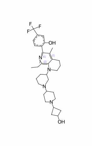 CC/C(C)=C1/C(=C(C)\C(=N/C)c2ccc(C(F)(F)F)cc2O)CCCN1C1CCCN(C2CCN(C3CC(O)C3)CC2)C1